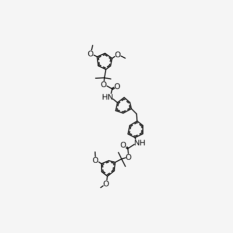 COc1cc(OC)cc(C(C)(C)OC(=O)Nc2ccc(Cc3ccc(NC(=O)OC(C)(C)c4cc(OC)cc(OC)c4)cc3)cc2)c1